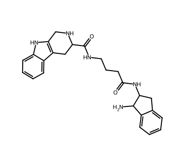 NC1c2ccccc2CC1NC(=O)CCCNC(=O)C1Cc2c([nH]c3ccccc23)CN1